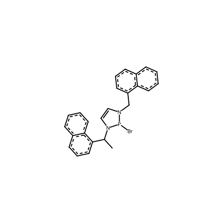 CC(c1cccc2ccccc12)N1C=CN(Cc2cccc3ccccc23)P1Br